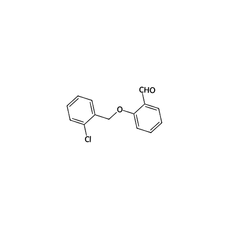 O=Cc1ccccc1OCc1ccccc1Cl